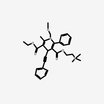 CCOC(=O)C1=C(C)N(COC)C(c2ccccc2)=C(C(=O)OCC[Si](C)(C)C)C1C#Cc1ccccc1